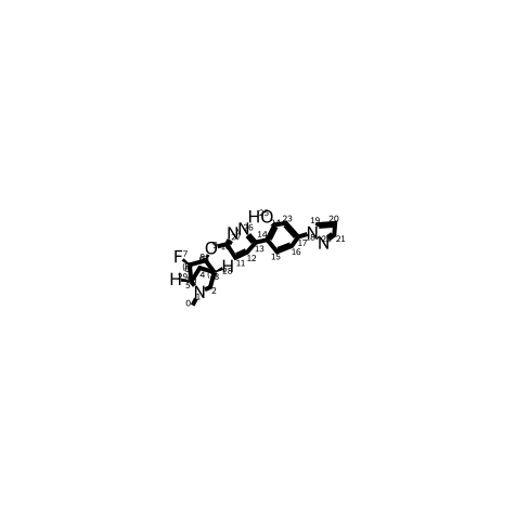 CN1C[C@@H]2C[C@H]1[C@@H](F)[C@H]2Oc1ccc(-c2ccc(-n3cccn3)cc2O)nn1